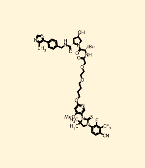 COc1cc(OCCCCOCCOCC(=O)N[C@H](C(=O)N2C[C@H](O)C[C@H]2C(=O)NCc2ccc(-c3scnc3C)cc2)C(C)(C)C)ncc1N1C(=S)N(c2ccc(C#N)c(C(F)(F)F)c2F)CC1(C)C